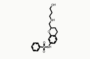 O=S(=O)(Nc1ccc2c(c1)OC(CNCCCO)CC2)c1ccccc1